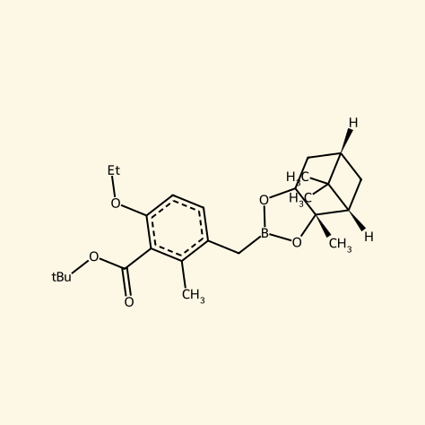 CCOc1ccc(CB2OC3C[C@@H]4C[C@@H](C4(C)C)[C@]3(C)O2)c(C)c1C(=O)OC(C)(C)C